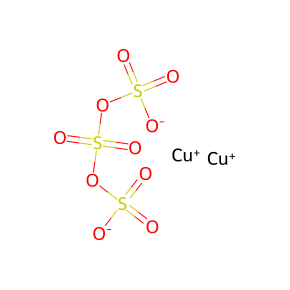 O=S(=O)([O-])OS(=O)(=O)OS(=O)(=O)[O-].[Cu+].[Cu+]